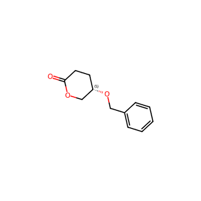 O=C1CC[C@H](OCc2ccccc2)CO1